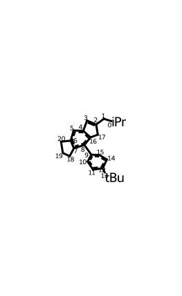 CC(C)CC1=Cc2cc3c(c(-c4ccc(C(C)(C)C)cc4)c2C1)CCC3